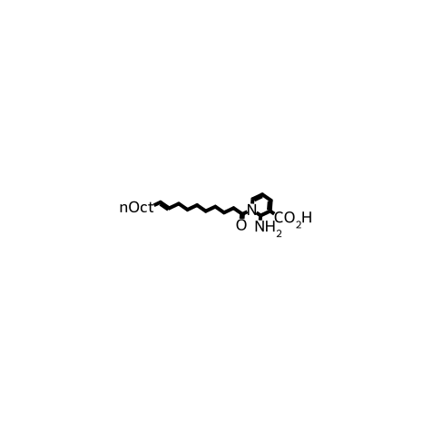 CCCCCCCCC=CCCCCCCCC(=O)N1C=CC=C(C(=O)O)C1N